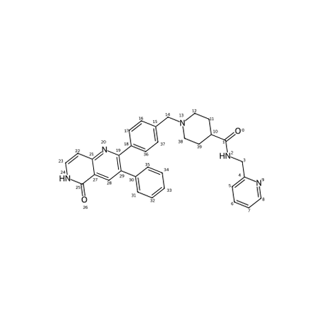 O=C(NCc1ccccn1)C1CCN(Cc2ccc(-c3nc4cc[nH]c(=O)c4cc3-c3ccccc3)cc2)CC1